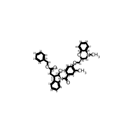 Cc1cc(C(=O)N2c3ccccc3C(CC(=O)OCc3ccccc3)C2C)ccc1OC[C@@H]1CN(C)c2ccccc2O1